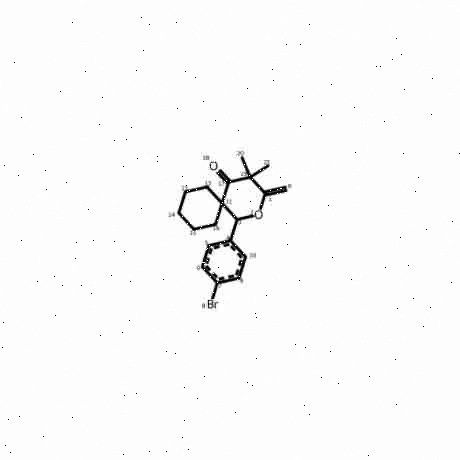 C=C1OC(c2ccc(Br)cc2)C2(CCCCC2)C(=O)C1(C)C